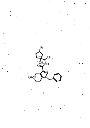 CC(C)C1CC[C@@](C)(C(C)NC(=O)c2nn(Cc3ccccc3)c3c2C[S+]([O-])CC3)C1